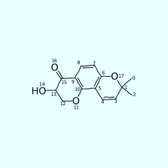 CC1(C)C=Cc2c(ccc3c2OCC(O)C3=O)O1